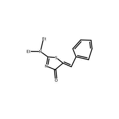 CCN(CC)C1=NC(=O)C(=Cc2ccccc2)S1